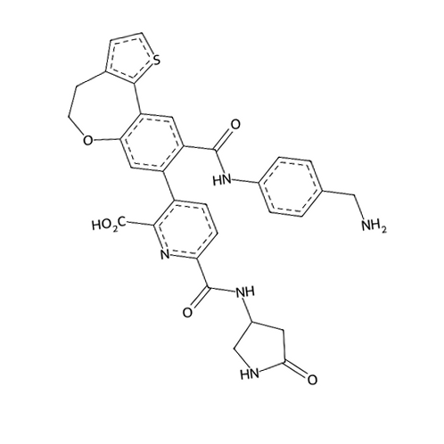 NCc1ccc(NC(=O)c2cc3c(cc2-c2ccc(C(=O)NC4CNC(=O)C4)nc2C(=O)O)OCCc2ccsc2-3)cc1